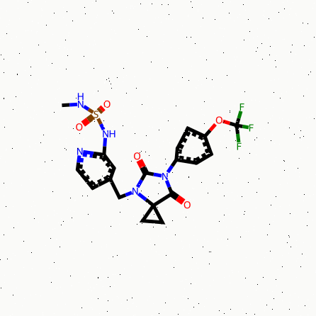 CNS(=O)(=O)Nc1cc(CN2C(=O)N(c3ccc(OC(F)(F)F)cc3)C(=O)C23CC3)ccn1